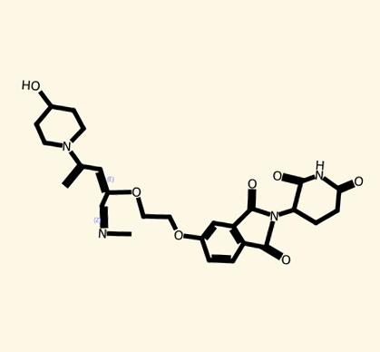 C=C(/C=C(\C=N/C)OCCOc1ccc2c(c1)C(=O)N(C1CCC(=O)NC1=O)C2=O)N1CCC(O)CC1